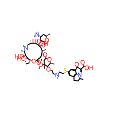 CC[C@H]1OC(=O)[C@H](C)[C@@H](OC2C[C@@](C)(OC)[C@@H](OCCN(C)CCSc3cc4c5c(c3)c(=O)c(C(=O)O)cn5C(C)CC4)[C@H](C)O2)[C@H](C)C(O[C@@H]2O[C@H](C)C[C@H](N(C)C)[C@H]2O)[C@](C)(O)C[C@@H](C)CN(C)[C@H](C)[C@H](O)[C@]1(C)O